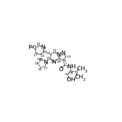 CC(C)[C@@H](CO)NC(=O)c1cnn2ccc(N3CCC[C@@H]3c3cncc(F)c3)nc12